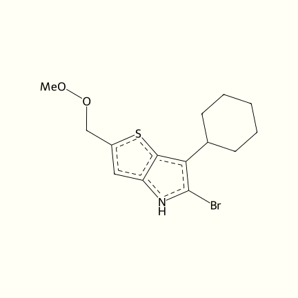 COOCc1cc2[nH]c(Br)c(C3CCCCC3)c2s1